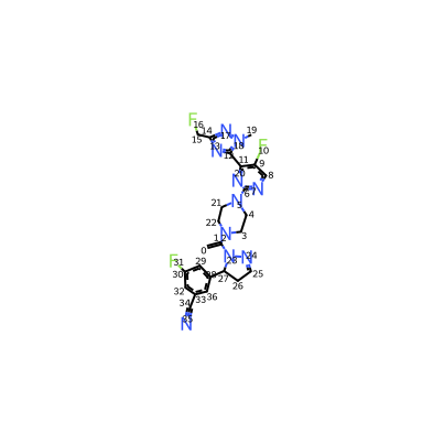 C=C(N1CCN(c2ncc(F)c(-c3nc(CF)nn3C)n2)CC1)N1N=CCC1c1cc(F)cc(C#N)c1